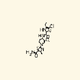 CCc1[nH]c(C(=O)N[C@@H]2CCN(c3nc(C)c(C(N)=O)s3)C[C@@H]2OC)nc1Cl